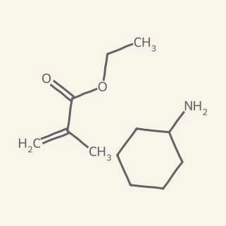 C=C(C)C(=O)OCC.NC1CCCCC1